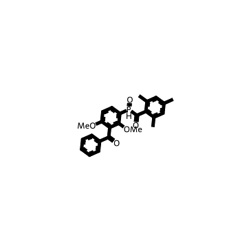 COc1ccc([PH](=O)C(=O)c2c(C)cc(C)cc2C)c(OC)c1C(=O)c1ccccc1